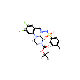 Cc1ccc(S(=O)(=O)N/N=C/c2cc(F)c(F)cc2N2CCN(C(=O)OC(C)(C)C)CC2)cc1